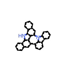 c1ccc2c(c1)cc1c3cccc4c5ccccc5n(c5cc6ccccc6c6[nH]c2c1c65)c34